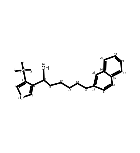 C[Si](C)(C)c1cocc1C(O)CCCCCc1ccc2ccccc2c1